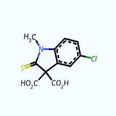 CN1C(=S)C(C(=O)O)(C(=O)O)c2cc(Cl)ccc21